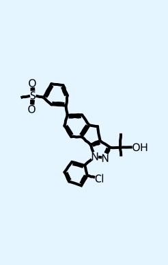 CC(C)(O)c1nn(-c2ccccc2Cl)c2c1Cc1cc(-c3cccc(S(C)(=O)=O)c3)ccc1-2